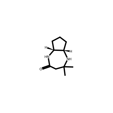 CC1(C)CC(=O)N[C@@H]2CCC[C@@H]2N1